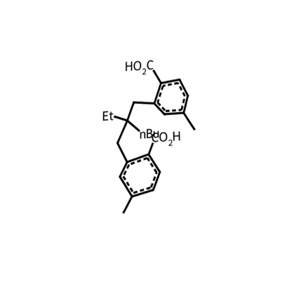 CCCCC(CC)(Cc1cc(C)ccc1C(=O)O)Cc1cc(C)ccc1C(=O)O